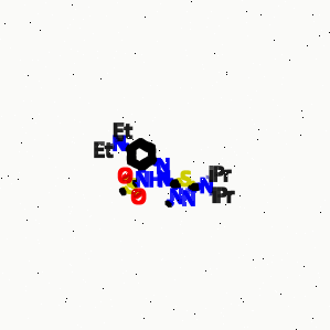 CCN(CC)c1ccc(N=Nc2sc(N(C(C)C)C(C)C)n[n+]2C)c(NS(C)(=O)=O)c1